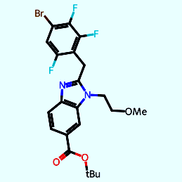 COCCn1c(Cc2c(F)cc(Br)c(F)c2F)nc2ccc(C(=O)OC(C)(C)C)cc21